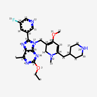 CCOc1nc(C)c2nc(-c3cncc(F)c3)n(CC3=C(OC)C=C(CC4CCNCC4)N(C)C3)c2n1